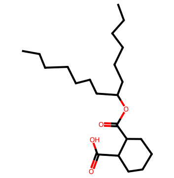 CCCCCCCC(CCCCCC)OC(=O)C1CCCCC1C(=O)O